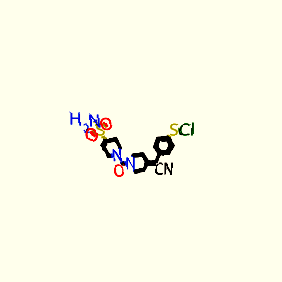 N#CC(=C1CCN(C(=O)N2CCC(S(N)(=O)=O)CC2)CC1)c1ccc(SCl)cc1